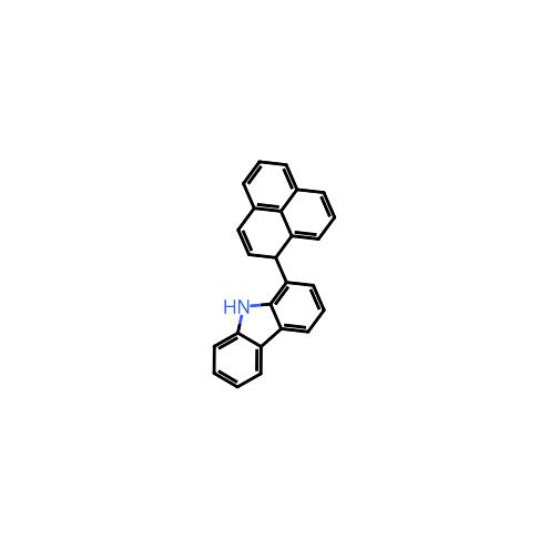 C1=CC(c2cccc3c2[nH]c2ccccc23)c2cccc3cccc1c23